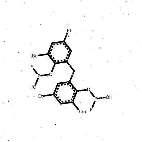 CCc1cc(Cc2cc(CC)cc(C(C)(C)C)c2OP(O)F)c(OP(O)F)c(C(C)(C)C)c1